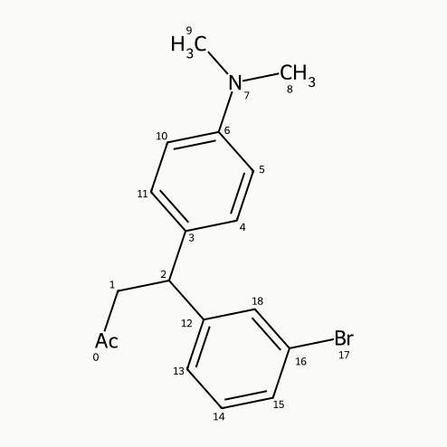 CC(=O)CC(c1ccc(N(C)C)cc1)c1cccc(Br)c1